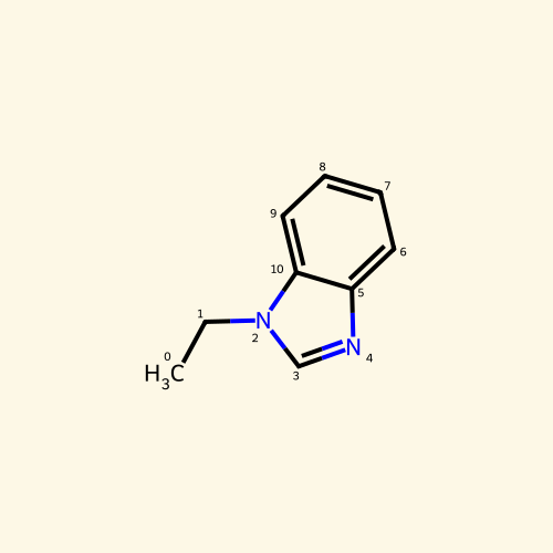 CCn1cnc2ccccc21